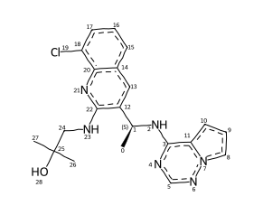 C[C@H](Nc1ncnn2cccc12)c1cc2cccc(Cl)c2nc1NCC(C)(C)O